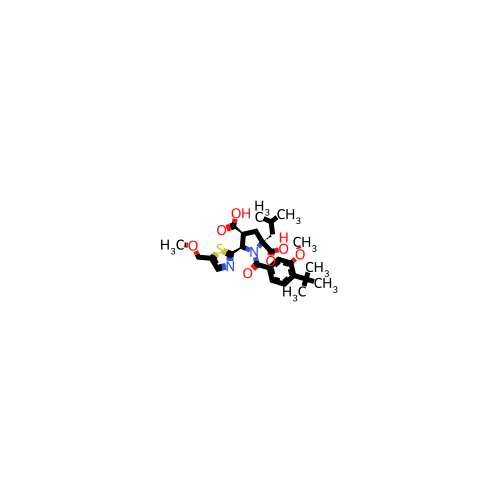 COCc1cnc([C@H]2[C@@H](C(=O)O)C[C@@](CC(C)C)(C(=O)O)N2C(=O)c2ccc(C(C)(C)C)c(OC)c2)s1